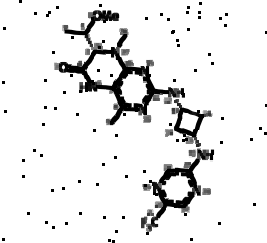 COC(C)[C@H]1C(=O)Nc2c(C)nc(N[C@H]3C[C@@H](Nc4cnc(C(F)(F)F)cn4)C3)nc2N1C